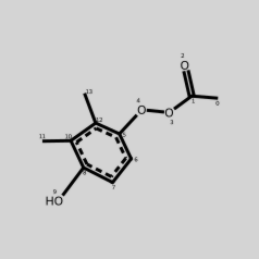 CC(=O)OOc1ccc(O)c(C)c1C